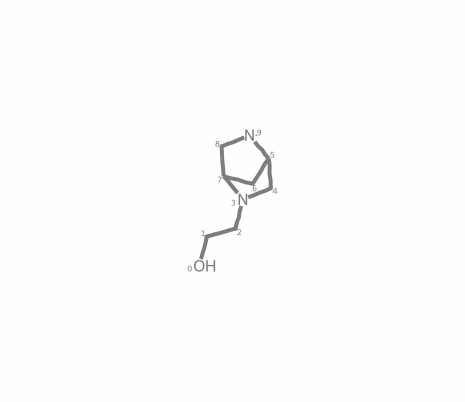 OCCN1CC2CC1C[N]2